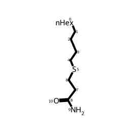 CCCCCCCCCCSCCC(N)=O